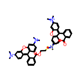 CN(C)c1ccc2c(-c3ccccc3C(=O)OCCSSCCOC(=O)c3ccccc3-c3c4ccc(=[N+](C)C)cc-4oc4cc(N(C)C)ccc34)c3ccc(=[N+](C)C)cc-3oc2c1